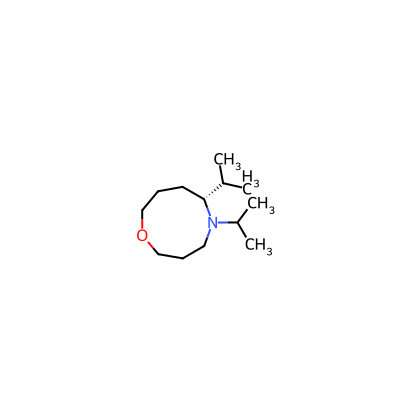 CC(C)[C@H]1CCCOCCCN1C(C)C